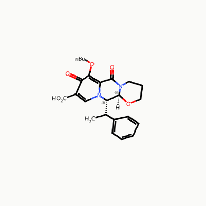 CCCCOc1c2n(cc(C(=O)O)c1=O)[C@@H](C(C)c1ccccc1)[C@@H]1OCCCN1C2=O